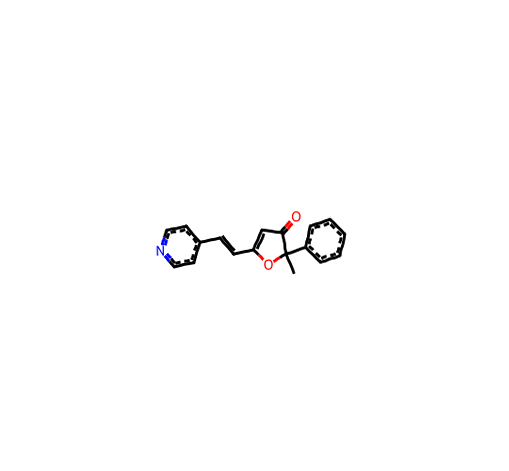 CC1(c2ccccc2)OC(C=Cc2ccncc2)=CC1=O